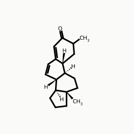 CC1C[C@H]2C(=CC1=O)C=C[C@@H]1[C@@H]2CC[C@]2(C)CCC[C@@H]12